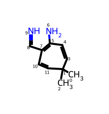 CC1(C)C=CC(N)=C(C=N)C=C1